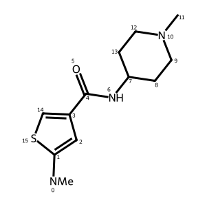 CNc1cc(C(=O)NC2CCN(C)CC2)cs1